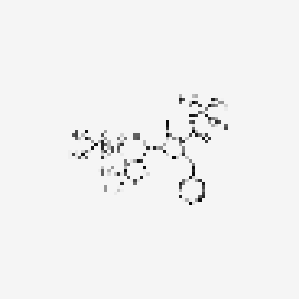 CC(C)(C)OC(=O)N1C(=O)C(C(O)C2COC(C)(C)N2C(=O)OC(C)(C)C)CC1Cc1ccccc1